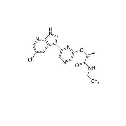 C[C@H](Oc1cncc(-c2c[nH]c3ncc(Cl)cc23)n1)C(=O)NCC(F)(F)F